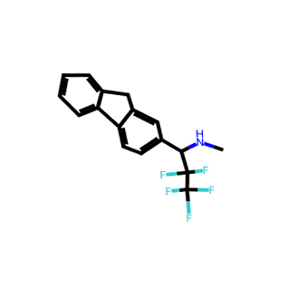 CNC(c1ccc2c(c1)Cc1ccccc1-2)C(F)(F)C(F)(F)F